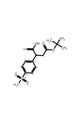 CC(C)(C)OC(=O)CC(C(=O)O)c1ccc(S(C)(=O)=O)cc1